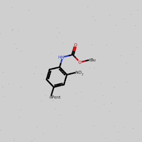 CCCCCc1ccc(NC(=O)OC(C)(C)C)c([N+](=O)[O-])c1